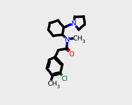 Cc1ccc(CC(=O)N(C)C2CCCCC2N2CCCC2)cc1Cl